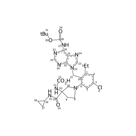 CCc1cc(Cl)cc(N2CCC(NC(=O)O)(C(=O)NC3CC3)C2)c1Cn1cnc2c(NC(=O)OC(C)(C)C)ncnc21